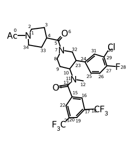 CC(=O)N1CCC(C(=O)N2CCC(N(C)C(=O)c3cc(C(F)(F)F)cc(C(F)(F)F)c3)C(c3ccc(F)c(Cl)c3)C2)CC1